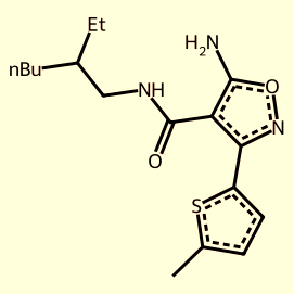 CCCCC(CC)CNC(=O)c1c(-c2ccc(C)s2)noc1N